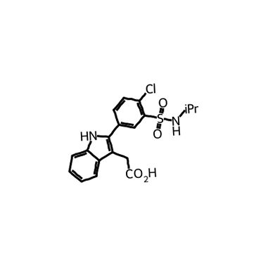 CC(C)NS(=O)(=O)c1cc(-c2[nH]c3ccccc3c2CC(=O)O)ccc1Cl